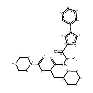 CC[C@H](NC(=O)C(CC(=O)N1CCOCC1)CC1CCCCC1)C(=O)c1nc(-c2ccccc2)no1